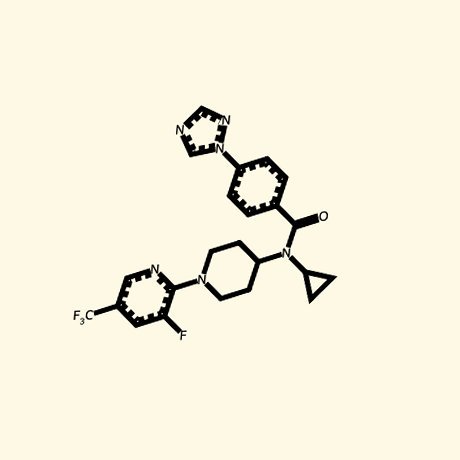 O=C(c1ccc(-n2cncn2)cc1)N(C1CC1)C1CCN(c2ncc(C(F)(F)F)cc2F)CC1